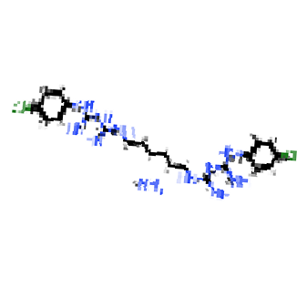 N.N=C(NCCCCCCNC(=N)NC(=N)Nc1ccc(Cl)cc1)NC(=N)Nc1ccc(Cl)cc1